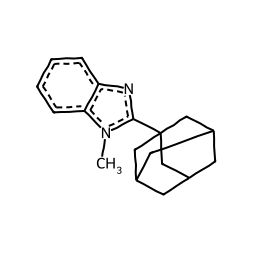 Cn1c(C23CC4CC(CC(C4)C2)C3)nc2ccccc21